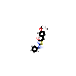 COc1ccc(C=C2SC(Nc3ccccc3)=NC2=O)cc1